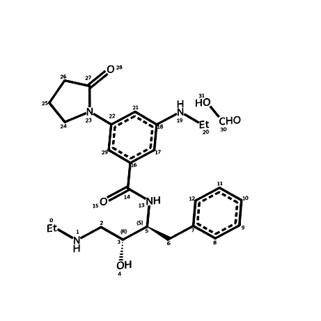 CCNC[C@@H](O)[C@H](Cc1ccccc1)NC(=O)c1cc(NCC)cc(N2CCCC2=O)c1.O=CO